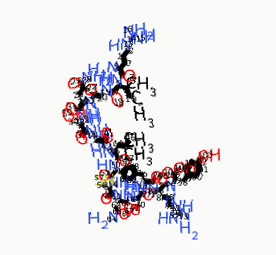 CC[C@H](C)[C@H](NC(=O)[C@@H](N)CCCNC(=N)N)C(=O)NCC(=O)N[C@@H](CCC(N)=O)C(=O)N[C@@H](CO)C(=O)NCC(=O)N[C@@H](CC(C)C)C(=O)NCC(=O)N[C@@H](CS)C(=O)N[C@@H](CC(N)=O)C(=O)N[C@@H](CO)C(=O)N[C@@H](Cc1ccccc1)C(=O)N[C@@H](CCCNC(=N)N)C(=O)N[C@@H](Cc1ccc(O)cc1)C(=O)O